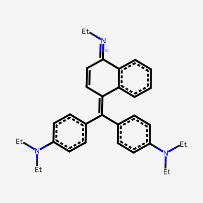 CC/N=C1\C=CC(=C(c2ccc(N(CC)CC)cc2)c2ccc(N(CC)CC)cc2)c2ccccc21